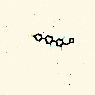 Fc1cc(-c2ccc(S)cc2)ccc1-c1cc(F)c(CC2CCC2)c(F)c1